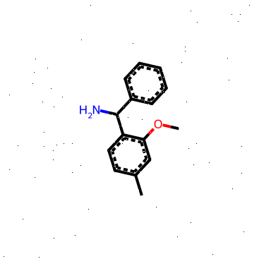 COc1cc(C)ccc1C(N)c1ccccc1